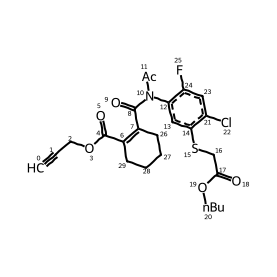 C#CCOC(=O)C1=C(C(=O)N(C(C)=O)c2cc(SCC(=O)OCCCC)c(Cl)cc2F)CCCC1